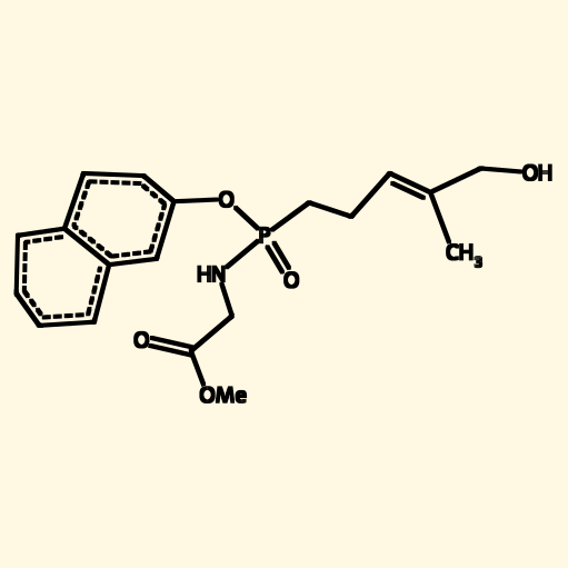 COC(=O)CNP(=O)(CC/C=C(\C)CO)Oc1ccc2ccccc2c1